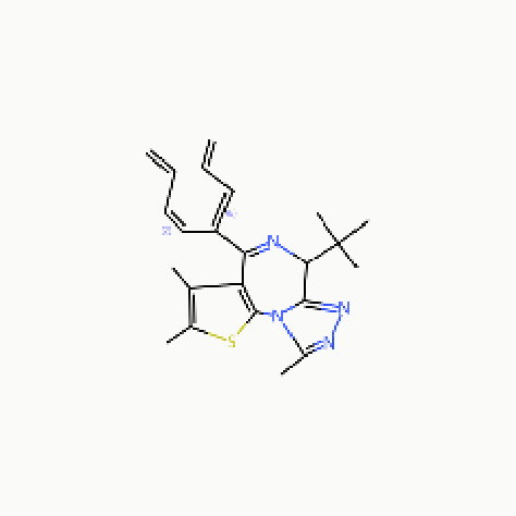 C=C/C=C\C(=C/C=C)C1=NC(C(C)(C)C)c2nnc(C)n2-c2sc(C)c(C)c21